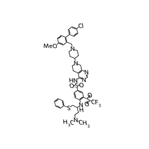 COc1ccc(-c2ccc(Cl)cc2)c(CN2CCC(N3CCc4c(ncnc4NS(=O)(=O)c4ccc(NC(CCN(C)C)CSc5ccccc5)c(S(=O)(=O)C(F)(F)F)c4)C3)CC2)c1